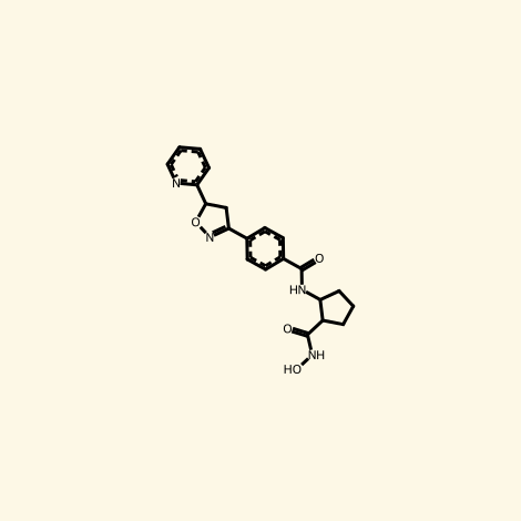 O=C(NC1CCCC1C(=O)NO)c1ccc(C2=NOC(c3ccccn3)C2)cc1